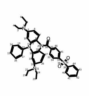 CCN(CC)c1ccc2c(c1)N(c1ccccc1)c1cc(N(CC)CC)ccc1N2C(=O)c1ccc(S(=O)(=O)c2ccccc2)cc1